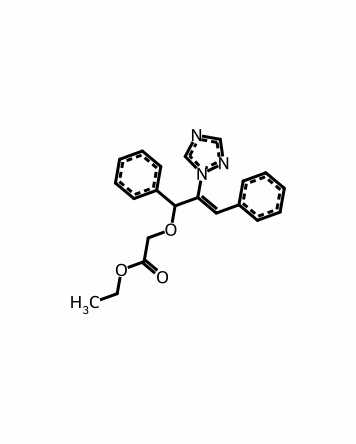 CCOC(=O)COC(C(=Cc1ccccc1)n1cncn1)c1ccccc1